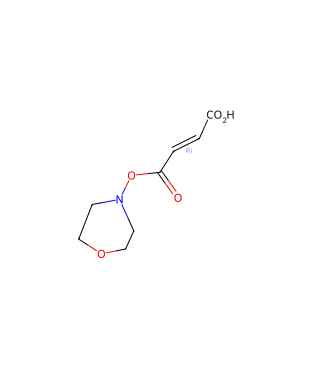 O=C(O)/C=C/C(=O)ON1CCOCC1